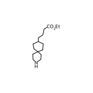 CCOC(=O)CCCC1CCC2(CCNCC2)CC1